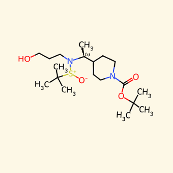 C[C@@H](C1CCN(C(=O)OC(C)(C)C)CC1)N(CCCO)[S+]([O-])C(C)(C)C